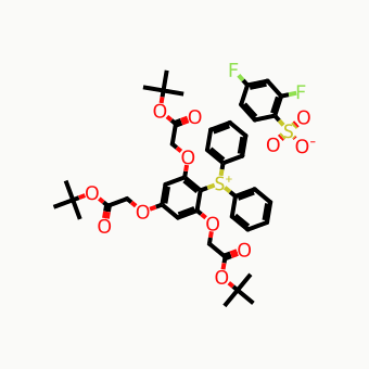 CC(C)(C)OC(=O)COc1cc(OCC(=O)OC(C)(C)C)c([S+](c2ccccc2)c2ccccc2)c(OCC(=O)OC(C)(C)C)c1.O=S(=O)([O-])c1ccc(F)cc1F